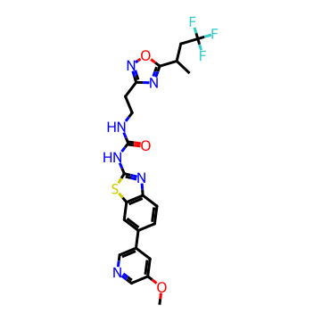 COc1cncc(-c2ccc3nc(NC(=O)NCCc4noc(C(C)CC(F)(F)F)n4)sc3c2)c1